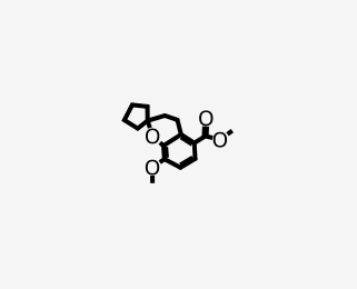 COC(=O)c1ccc(OC)c2c1CCC1(CCCC1)O2